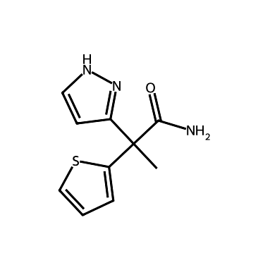 CC(C(N)=O)(c1cc[nH]n1)c1cccs1